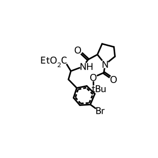 CCOC(=O)C(Cc1ccc(Br)cc1)NC(=O)C1CCCN1C(=O)OC(C)(C)C